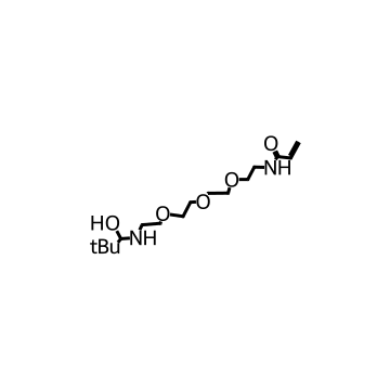 C=CC(=O)NCCOCCOCCOCCNC(O)C(C)(C)C